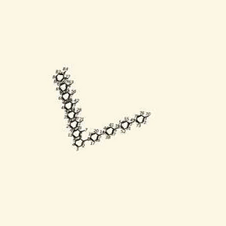 Cc1ccccc1.Cc1ccccc1.Cc1ccccc1.Cc1ccccc1.Cc1ccccc1.Cc1ccccc1.Cc1ccccc1.Cc1ccccc1.Cc1ccccc1.Cc1ccccc1.Cc1ccccc1.Cc1ccccc1C